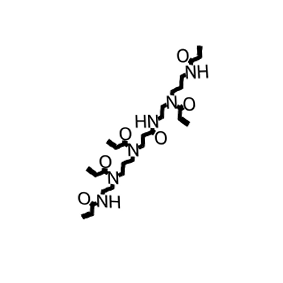 C=CC(=O)NCCCN(CCNC(=O)CCN(CCCN(CCNC(=O)C=C)C(=O)C=C)C(=O)C=C)C(=O)C=C